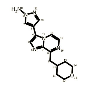 Nn1cc(-c2cnc3c(CC4CCOCC4)nccn23)cn1